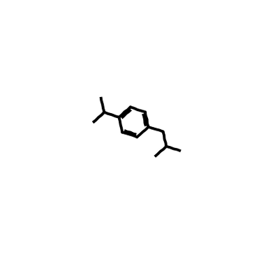 CC(C)Cc1ccc(C(C)C)cc1